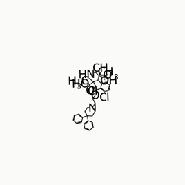 CC1N[C@H](C)C(C)(C(=O)O)C(c2cccc(Cl)c2Cl)C1(CCOCCN1CCC(c2ccccc2)(c2ccccc2)CC1)C(=O)O